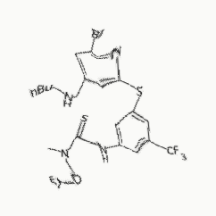 CCCCNc1cc(Br)nc(Sc2cc(NC(=S)N(C)OCC)cc(C(F)(F)F)c2)c1